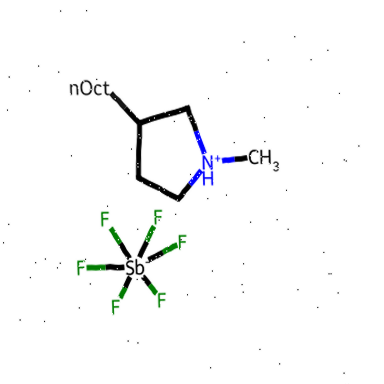 CCCCCCCCC1CC[NH+](C)C1.[F][Sb-]([F])([F])([F])([F])[F]